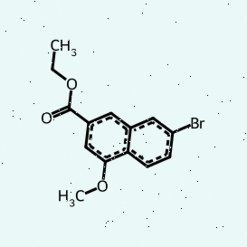 CCOC(=O)c1cc(OC)c2ccc(Br)cc2c1